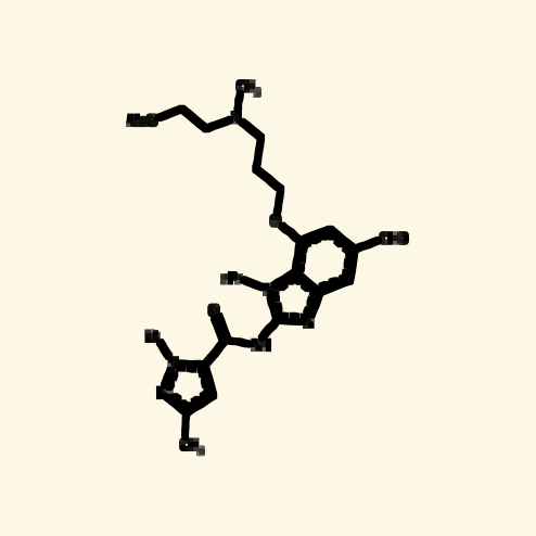 CCCn1c(NC(=O)c2cc(C)nn2CC)nc2cc(C=O)cc(OCCCN(C)CCOC)c21